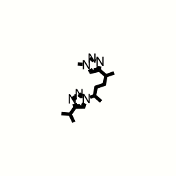 CC(C)c1cn(C(C)CCC(C)c2cn(C)nn2)nn1